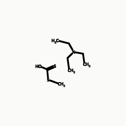 CCN(CC)CC.CSC(O)=S